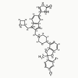 CC1(c2ccc(Cl)cc2F)Oc2cccc(C3CCN(Cc4nc5cc(-c6noc(=O)[nH]6)ccc5n4CC4CCO4)CC3)c2O1